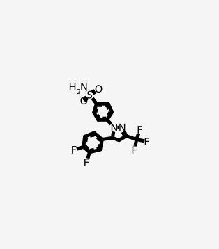 NS(=O)(=O)c1ccc(N2N=C(C(F)(F)F)CC2c2ccc(F)c(F)c2)cc1